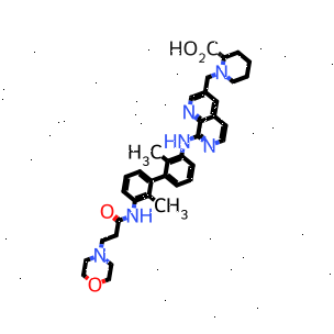 Cc1c(NC(=O)CCN2CCOCC2)cccc1-c1cccc(Nc2nccc3cc(CN4CCCCC4C(=O)O)cnc23)c1C